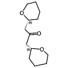 O=C(C[C@H]1CCCCO1)C[C@H]1CCCCO1